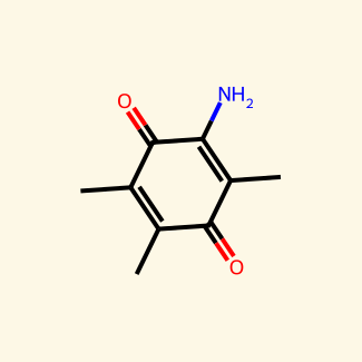 CC1=C(C)C(=O)C(N)=C(C)C1=O